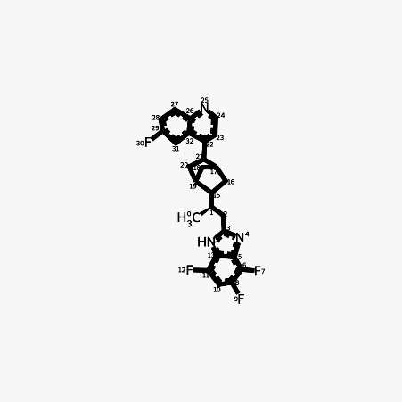 C[C@H](Cc1nc2c(F)c(F)cc(F)c2[nH]1)C1CC2CC1CC2c1ccnc2ccc(F)cc12